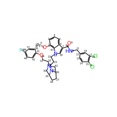 CC(C)Oc1cccc2c(C(=O)NCc3ccc(Cl)c(Cl)c3)cn(CCCN3C4CCC3CN(CCOc3ccc(F)cc3)C4)c12